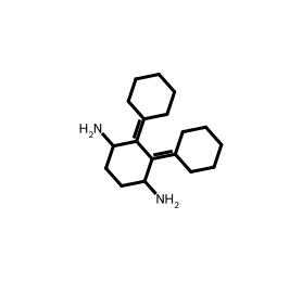 NC1CCC(N)C(=C2CCCCC2)C1=C1CCCCC1